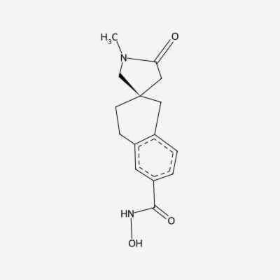 CN1C[C@@]2(CCc3cc(C(=O)NO)ccc3C2)CC1=O